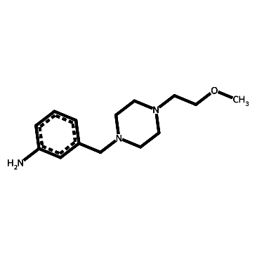 COCCN1CCN(Cc2cccc(N)c2)CC1